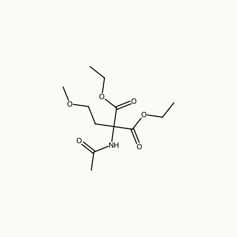 CCOC(=O)C(CCOC)(NC(C)=O)C(=O)OCC